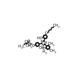 CCCCCCOc1ccc(-c2nc(-c3ccc(OCOC(=O)C(C)(C)CC)cc3O)nc(-c3c(C)cc(C)cc3C)n2)c(O)c1